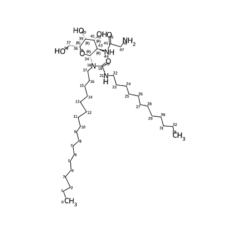 CCCCCCCCCCCCCCCCCCN(C(=O)NCCCCCCCCCCCC)[C@@H]1O[C@H](CO)[C@H](O)[C@H](O)[C@H]1NC(=O)CN